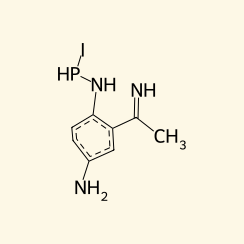 CC(=N)c1cc(N)ccc1NPI